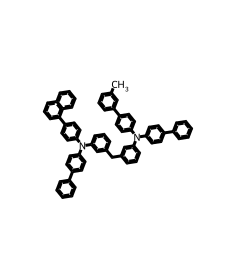 Cc1cccc(-c2ccc(N(c3ccc(-c4ccccc4)cc3)c3cccc(Cc4cccc(N(c5ccc(-c6ccccc6)cc5)c5ccc(-c6cccc7ccccc67)cc5)c4)c3)cc2)c1